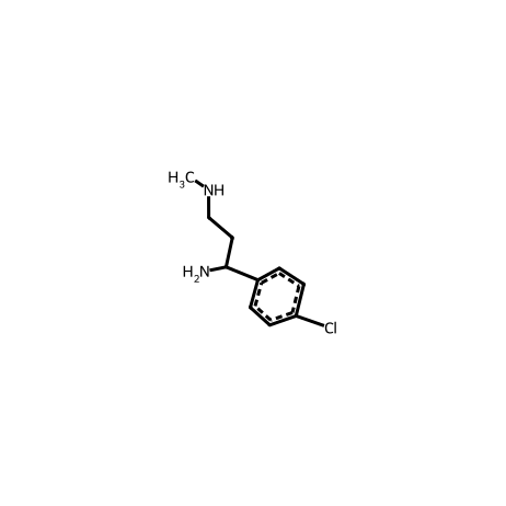 CNCCC(N)c1ccc(Cl)cc1